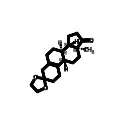 C[C@]12CC[C@@H]3C4=C(CC[C@H]3[C@@H]1CCC2=O)CC1(CC4)OCCO1